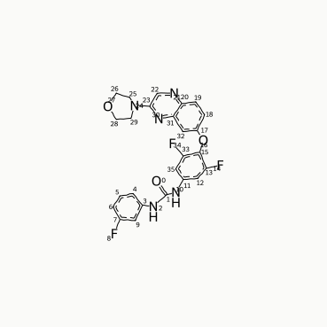 O=C(Nc1cccc(F)c1)Nc1cc(F)c(Oc2ccc3ncc(N4CCOCC4)nc3c2)c(F)c1